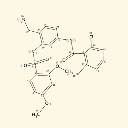 COc1ccc(S(=O)(=O)Nc2cc(NC(=O)c3c(F)cccc3Cl)ccc2CN)c(OC)c1